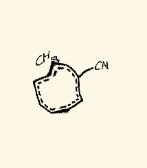 C.N#Cc1ccccc1